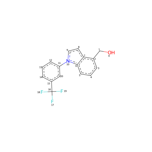 OCc1cccc2c1ccn2-c1cccc(C(F)(F)F)c1